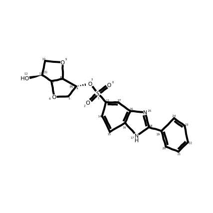 O=S(=O)(O[C@@H]1COC2C1OC[C@@H]2O)c1ccc2[nH]c(-c3ccccc3)nc2c1